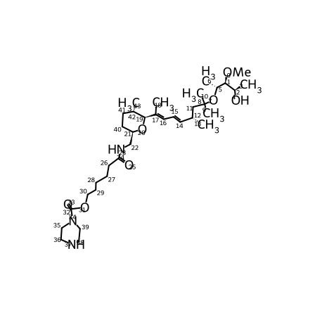 CO[C@@H]([C@@H](C)O)[C@@H](C)OC(C)(C)C[C@H](C)/C=C/C=C(\C)[C@H]1O[C@@H](CNC(=O)CCCCCOC(=O)N2CCNCC2)CC[C@@H]1C